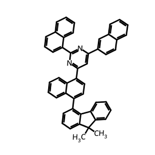 CC1(C)c2ccccc2-c2c(-c3ccc(-c4cc(-c5ccc6ccccc6c5)nc(-c5cccc6ccccc56)n4)c4ccccc34)cccc21